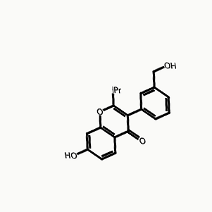 CC(C)c1oc2cc(O)ccc2c(=O)c1-c1cccc(CO)c1